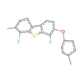 Cc1ccc(Oc2ccc3c(sc4c(F)c(C)ccc43)c2F)cc1